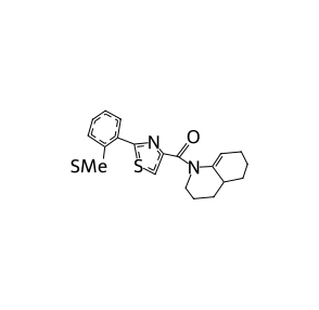 CSc1ccccc1-c1nc(C(=O)N2CCCC3CCCC=C32)cs1